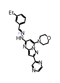 CCc1cccc(/C=N/Nc2cc(N3CCOCC3)n3nc(-c4cnccn4)cc3n2)c1